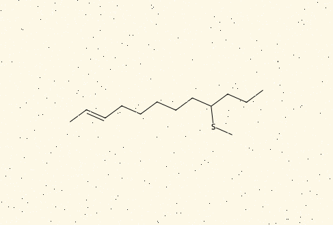 C/C=C/CCCCCC(CCC)SC